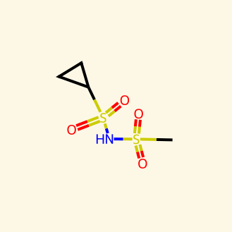 CS(=O)(=O)NS(=O)(=O)C1CC1